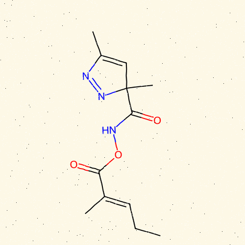 CCC=C(C)C(=O)ONC(=O)C1(C)C=C(C)N=N1